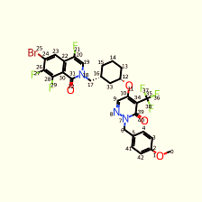 COc1ccc(Cn2ncc(O[C@H]3CCC[C@@H](Cn4cc(F)c5cc(Br)c(F)c(F)c5c4=O)C3)c(C(F)(F)F)c2=O)cc1